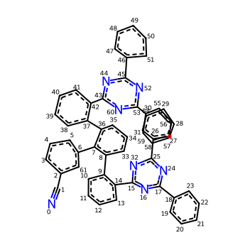 N#Cc1cccc(-c2c(-c3ccccc3-c3nc(-c4ccccc4)nc(-c4ccccc4)n3)cccc2-c2ccccc2-c2nc(-c3ccccc3)nc(C3C=CC=CC3)n2)c1